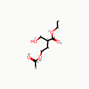 CCOC(=O)C(CO)CCOC(C)=O